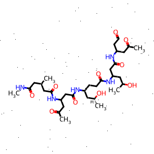 CNC(=O)CC(C)CC(=O)NC(CC(C)=O)CC(=O)NC(CCC(=O)NC(CC(=O)NC(CC=O)CC(C)=O)CC(C)O)C[C@@H](C)O